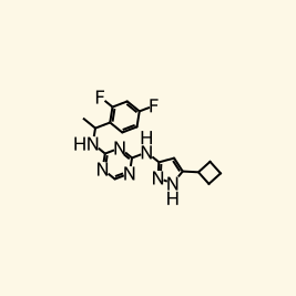 CC(Nc1ncnc(Nc2cc(C3CCC3)[nH]n2)n1)c1ccc(F)cc1F